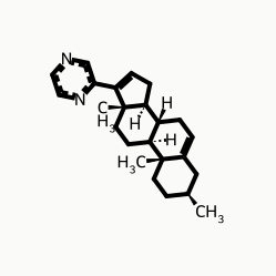 C[C@H]1CC[C@@]2(C)C(=CC[C@@H]3[C@@H]2CC[C@]2(C)C(c4cnccn4)=CC[C@@H]32)C1